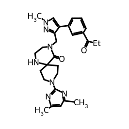 CCC(=O)c1cccc(-c2cn(C)nc2CN2CCNC3(CCN(c4nc(C)cc(C)n4)CC3)C2=O)c1